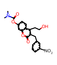 CN(C)C(=O)Oc1ccc2c(CCO)c(Cc3cccc([N+](=O)[O-])c3)c(=O)oc2c1